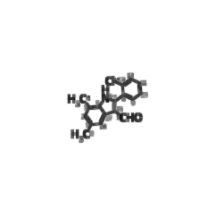 Cc1cc(C)c2[nH]c(-c3ccccc3Cl)c(C=O)c2c1